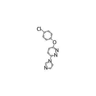 Clc1ccc(Oc2ccc(-n3ccnc3)nn2)cc1